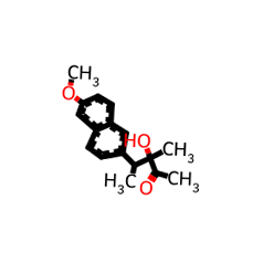 COc1ccc2cc(C(C)C(C)(O)C(C)=O)ccc2c1